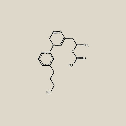 CCCCc1cccc(N2C=C(CC(C)OC(C)=O)N=CC2)c1